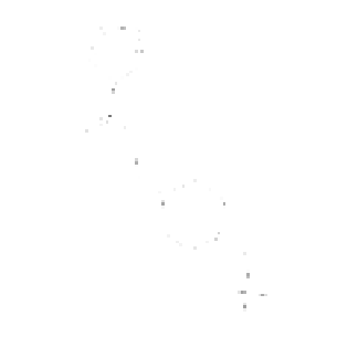 O=C(OCC1CCN(CC(F)(F)F)CC1)n1ccnc1